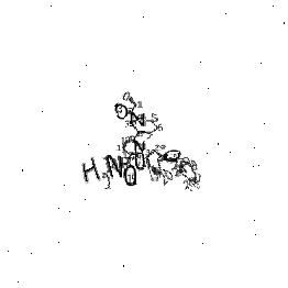 C=CC(=O)N1CCC=C(c2ccc(C(N)=O)c(Oc3ccc(Oc4ccccc4)cc3)n2)C1